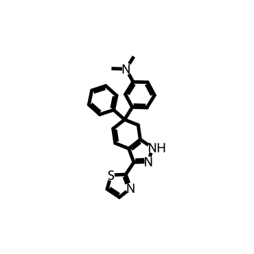 CN(C)c1cccc(C2(c3ccccc3)C=Cc3c(-c4nccs4)n[nH]c3C2)c1